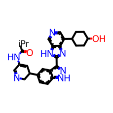 CC(C)C(=O)NC1=CC(c2ccc3[nH]nc(-c4nc5c(C6CCC(O)CC6)cncc5[nH]4)c3c2)CN=C1